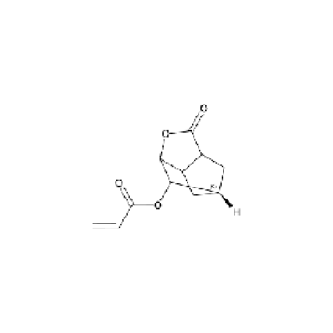 C=CC(=O)OC1C2OC(=O)C3C[C@@H]1CC32